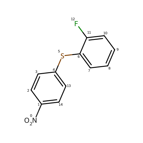 O=[N+]([O-])c1ccc(Sc2ccccc2F)cc1